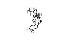 O=c1[nH]ccc2c(-n3ncc(S(=O)(=O)Nc4ccnc(C(F)(F)F)c4)c3C(F)(F)F)cccc12